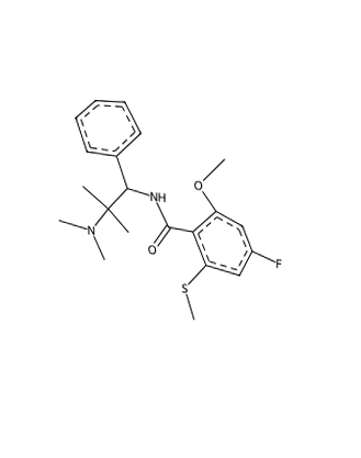 COc1cc(F)cc(SC)c1C(=O)NC(c1ccccc1)C(C)(C)N(C)C